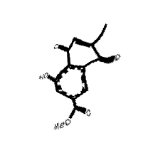 COC(=O)c1cc(O)c2c(c1)C(=O)C(C)=CC2=O